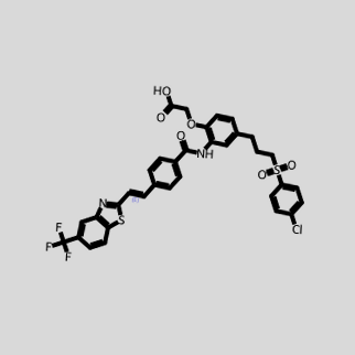 O=C(O)COc1ccc(CCCS(=O)(=O)c2ccc(Cl)cc2)cc1NC(=O)c1ccc(/C=C/c2nc3cc(C(F)(F)F)ccc3s2)cc1